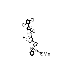 COCCCn1c([C@@H]2CCCN(C(=O)C[C@H](N)CNC(=O)c3ccc(-c4cc(Cl)ccc4Cl)o3)C2)nc2ccccc21